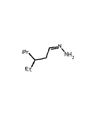 CCC(C/C=N\N)C(C)C